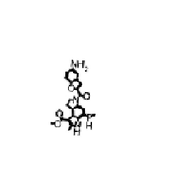 COC(=O)c1c(C)[nH]c2c(PC)cc3c(c12)CCN3C(=O)C1=CC2C=C(N)C=CC2O1